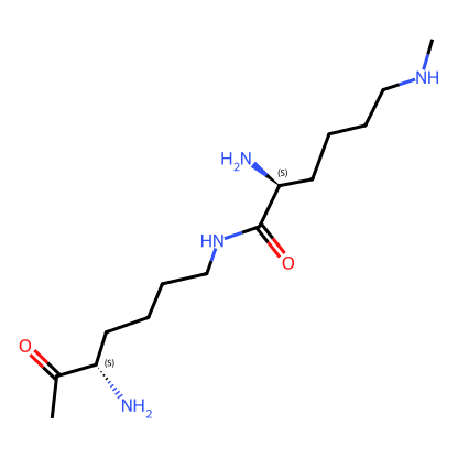 CNCCCC[C@H](N)C(=O)NCCCC[C@H](N)C(C)=O